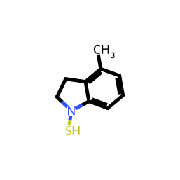 Cc1cccc2c1CCN2S